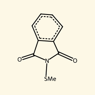 CSN1C(=O)c2ccccc2C1=O